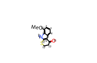 COc1cccc2c3c(n(C)c12)SCCC3=O